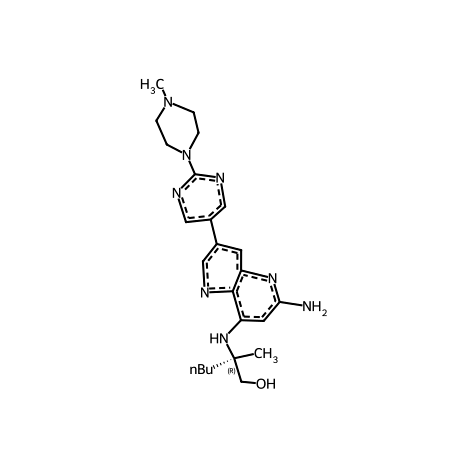 CCCC[C@](C)(CO)Nc1cc(N)nc2cc(-c3cnc(N4CCN(C)CC4)nc3)cnc12